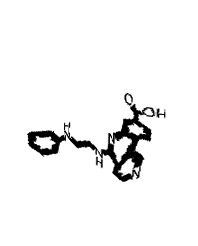 O=C(O)c1ccc2c(c1)nc(NCCNc1ccccc1)c1ccncc12